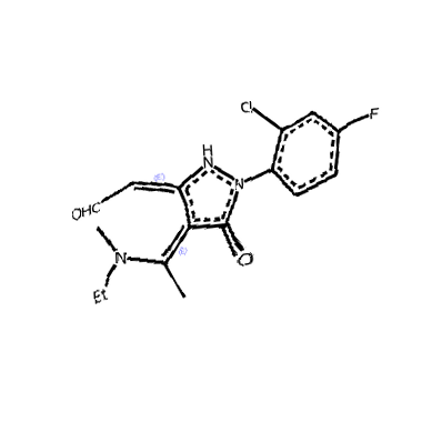 CCN(C)/C(C)=c1/c(=O)n(-c2ccc(F)cc2Cl)[nH]/c1=C/C=O